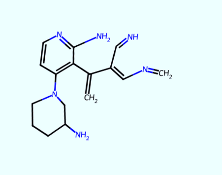 C=N/C=C(\C=N)C(=C)c1c(N2CCCC(N)C2)ccnc1N